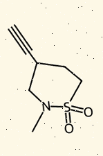 C#CC1CCS(=O)(=O)N(C)C1